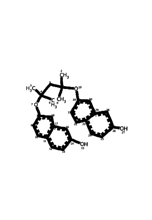 CC(C)(CC(C)(C)Oc1ccc2ccc(O)cc2c1)Oc1ccc2ccc(O)cc2c1